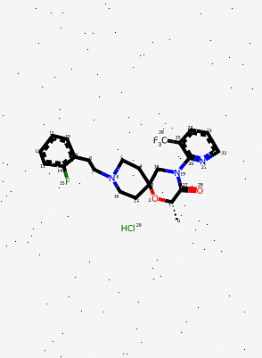 C[C@@H]1OC2(CCN(CCc3ccccc3F)CC2)CN(c2ncccc2C(F)(F)F)C1=O.Cl